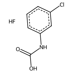 F.O=C(O)Nc1cccc(Cl)c1